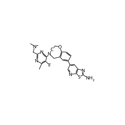 Cc1nc(CN(C)C)nc(N2CCOc3ccc(-c4cnc5sc(N)nc5c4)cc3C2)c1F